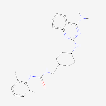 CCc1cccc(C(C)C)c1NC(=O)NCC1CCC(Nc2nc(N(C)C)c3ccccc3n2)CC1